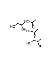 CC(=O)O.CC(=O)O.CC(O)CO.CC(O)CO